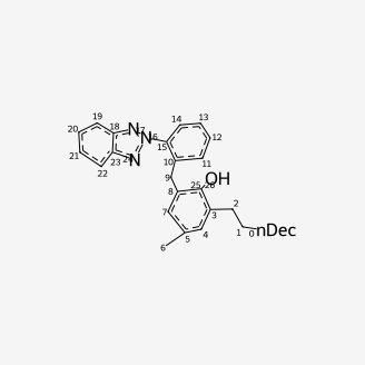 CCCCCCCCCCCCc1cc(C)cc(Cc2ccccc2-n2nc3ccccc3n2)c1O